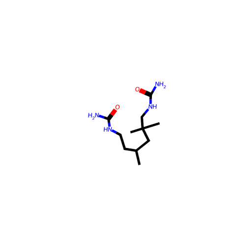 CC(CCNC(N)=O)CC(C)(C)CNC(N)=O